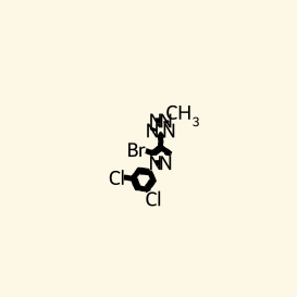 Cn1nnc(-c2cnn(-c3cc(Cl)cc(Cl)c3)c2Br)n1